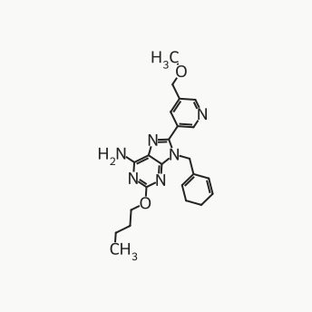 CCCCOc1nc(N)c2nc(-c3cncc(COC)c3)n(CC3=CCCC=C3)c2n1